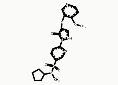 COc1ccncc1Cc1c[nH]n(-c2ccc(S(=O)(=O)N(C)C3CCCC3)cn2)c1=O